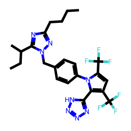 CCCCc1nc(C(C)CC)n(Cc2ccc(-n3c(C(F)(F)F)cc(C(F)(F)F)c3-c3nnn[nH]3)cc2)n1